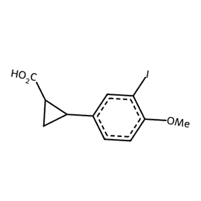 COc1ccc(C2CC2C(=O)O)cc1I